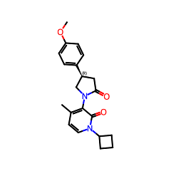 COc1ccc([C@H]2CC(=O)N(c3c(C)ccn(C4CCC4)c3=O)C2)cc1